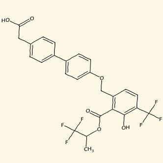 CC(OC(=O)c1c(COc2ccc(-c3ccc(CC(=O)O)cc3)cc2)ccc(C(F)(F)F)c1O)C(F)(F)F